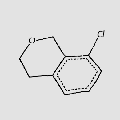 Clc1cccc2c1COCC2